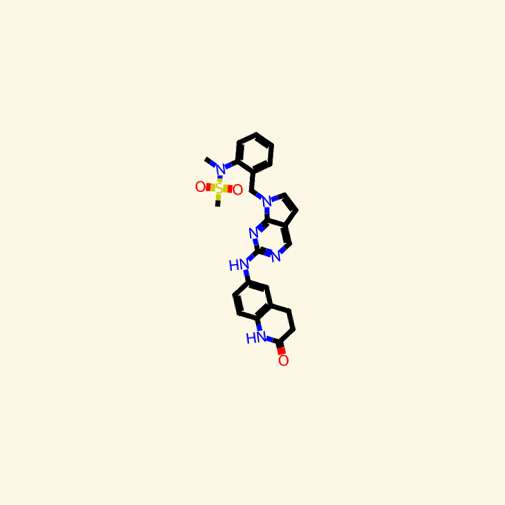 CN(c1ccccc1Cn1ccc2cnc(Nc3ccc4c(c3)CCC(=O)N4)nc21)S(C)(=O)=O